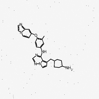 Cc1cc(Nc2ncnn3ccc(CC4CCC(N)CC4)c23)ccc1Oc1ccn2ccnc2c1